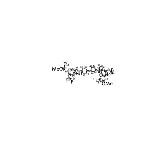 CO[C@H](C)CC(=O)N1CC(F)(F)C[C@H]1c1ncc(-c2ccc(-c3ccc(-c4cnc([C@@H]5CC(F)(F)CN5C(=O)C[C@@H](C)OC)[nH]4)cc3)cc2)[nH]1